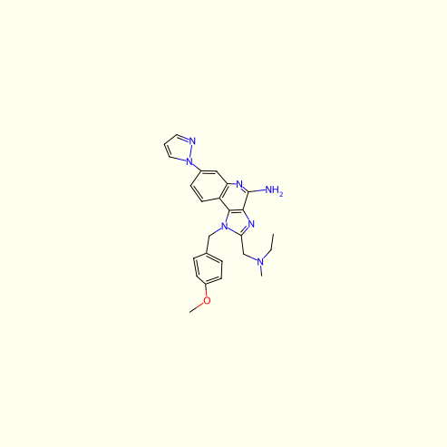 CCN(C)Cc1nc2c(N)nc3cc(-n4cccn4)ccc3c2n1Cc1ccc(OC)cc1